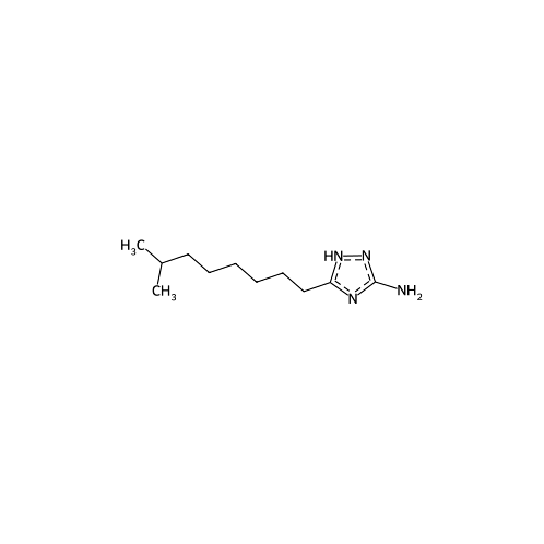 CC(C)CCCCCCc1nc(N)n[nH]1